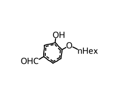 CCCCCCOc1ccc(C=O)cc1O